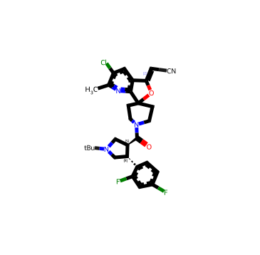 Cc1nc2c(cc1Cl)/C(=C/C#N)OC21CCN(C(=O)[C@@H]2CN(C(C)(C)C)C[C@H]2c2ccc(F)cc2F)CC1